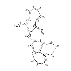 CCCN1/C(=C/c2cc3c4c(c2)CCCN4CCC3)C(=O)c2ccccc21